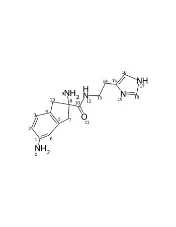 Nc1ccc2c(c1)CC(N)(C(=O)NCCc1c[nH]cn1)C2